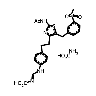 CC(=O)Nc1nc(CCc2ccc(NC=NC(=O)O)cc2)c(Cc2cccc(S(C)(=O)=O)c2)s1.NC(=O)O